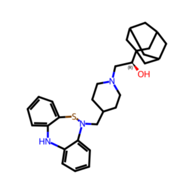 O[C@@H](CN1CCC(Cn2sc3ccccc3[nH]c3ccccc32)CC1)C12CC3CC(CC(C3)C1)C2